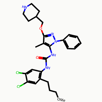 COCCCc1cc(Cl)c(Cl)cc1NC(=O)Nc1c(C)c(OCC2CCNCC2)nn1-c1ccccc1